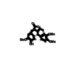 COc1cc(CC2C(=O)OC(C)C2Cc2ccc(OC)c(OC)c2)ccc1O